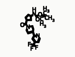 CC(C)(C)OC(=O)NC1CCC(C(=O)N2CC=C(c3cc(C(F)(F)F)ccn3)CC2)C1